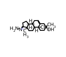 CC1(O)CC[C@@]2(C)C(=CC[C@@H]3[C@@H]2CC[C@]2(C)/C(=N/N)CC[C@@H]32)C1